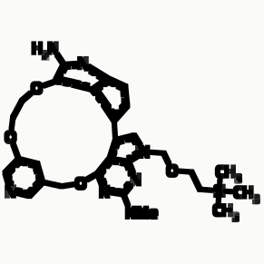 CNc1nc2c3c(cn(COCC[Si](C)(C)C)c3n1)-c1ccc3nc(N)c(cc3c1)OCCOc1cncc(c1)CO2